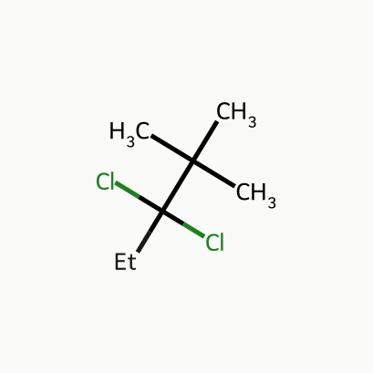 CCC(Cl)(Cl)C(C)(C)C